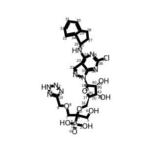 O=P(O)(O)C(CO)(COCc1nn[nH]n1)OC[C@H]1O[C@@H](n2ncc3c(N[C@@H]4CCc5ccccc54)nc(Cl)nc32)[C@H](O)[C@@H]1O